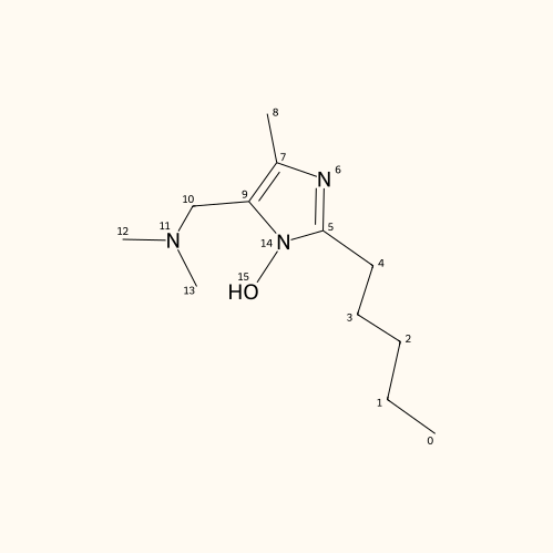 CCCCCc1nc(C)c(CN(C)C)n1O